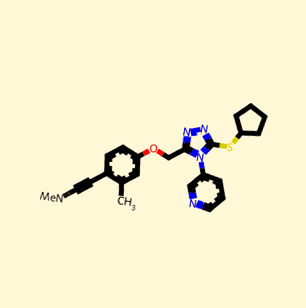 CNC#Cc1ccc(OCc2nnc(SC3CCCC3)n2-c2cccnc2)cc1C